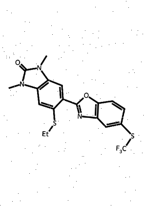 CCSc1cc2c(cc1-c1nc3cc(SC(F)(F)F)ccc3o1)n(C)c(=O)n2C